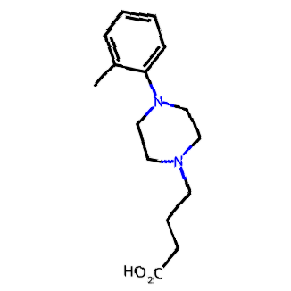 Cc1ccccc1N1CCN(CCCC(=O)O)CC1